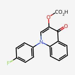 O=C(O)Oc1cn(-c2ccc(F)cc2)c2ccccc2c1=O